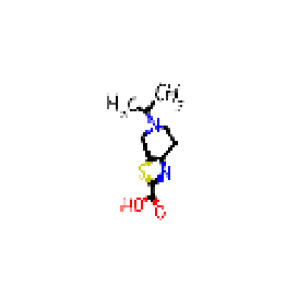 CC(C)N1CCc2nc(C(=O)O)sc2C1